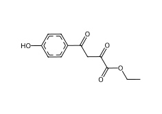 CCOC(=O)C(=O)CC(=O)c1ccc(O)cc1